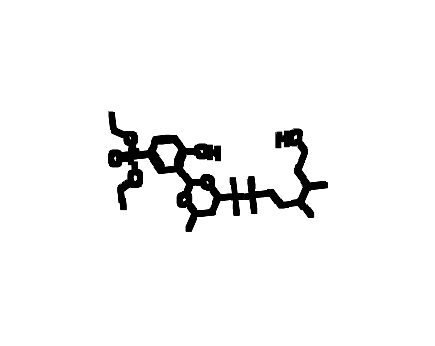 CCOP(=O)(OCC)c1ccc(O)c(C2OC(C)CC(C(C)(C)C(C)(C)CCC(C)C(C)CCO)O2)c1